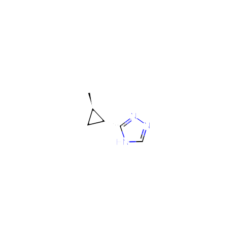 C[C@@H]1C[C@H]1c1nnc[nH]1